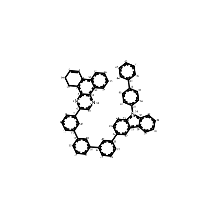 C1=Cc2c(c3nc(-c4cccc(-c5cccc(-c6cccc(-c7ccc8c(c7)c7ccccc7n8-c7ccc(-c8ccccc8)cc7)c6)c5)c4)cnc3c3ccccc23)CC1